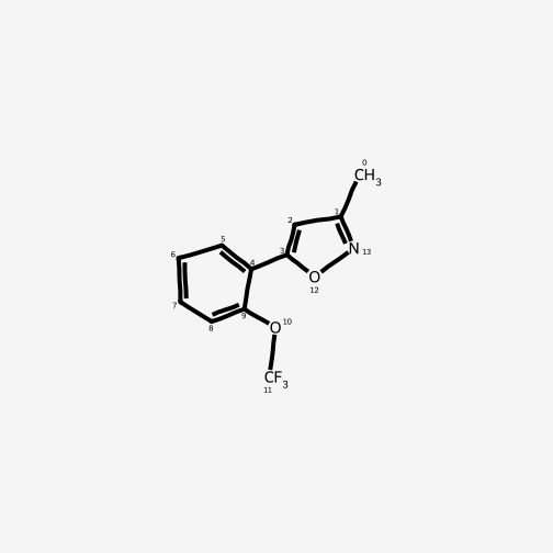 Cc1cc(-c2ccccc2OC(F)(F)F)on1